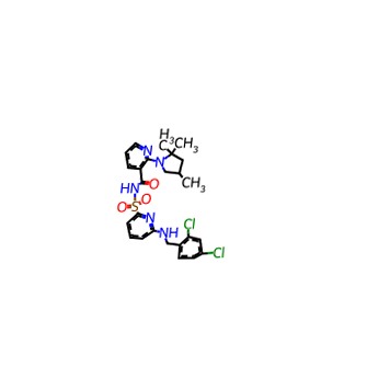 CC1CN(c2ncccc2C(=O)NS(=O)(=O)c2cccc(NCc3ccc(Cl)cc3Cl)n2)C(C)(C)C1